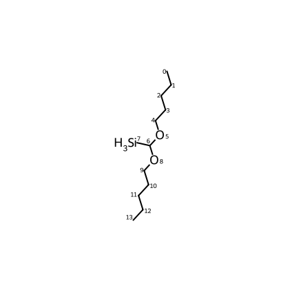 CCCCCOC([SiH3])OCCCCC